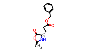 C=C1N[C@@H](CCC(=O)OCc2ccccc2)C(=O)O1